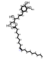 CCCCCCCC/C=C\CCCCCCCC(=O)OC(CO)C(O)CC=Cc1ccc(O)c(OC)c1